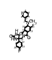 CN(Cc1cccnc1)c1cc2c(cc1F)C(=O)N(CC1(c3ccc(F)cc3)NC(=O)NC1=O)C2